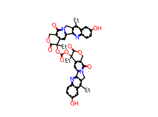 CCc1c2c(nc3ccc(O)cc13)-c1cc3c(c(=O)n1C2)COC(=O)C3(CC)OC(=O)OC1(CC)C(=O)OCc2c1cc1n(c2=O)Cc2c-1nc1ccc(O)cc1c2CC